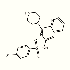 O=S(=O)(Nc1cc2cccnc2c(N2CCNCC2)n1)c1ccc(Br)cc1